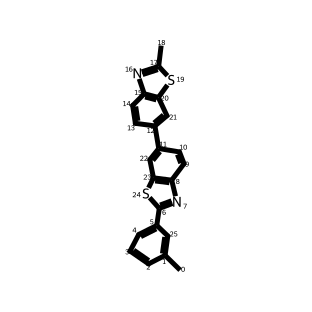 Cc1cccc(-c2nc3ccc(-c4ccc5nc(C)sc5c4)cc3s2)c1